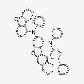 C1=CC(c2ccccc2)CC=C1N(c1ccccc1)c1cc(N(c2ccccc2)c2cccc3oc4ccccc4c23)cc2oc3cc4ccccc4cc3c12